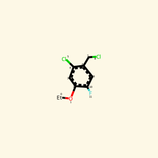 CCOc1cc(Cl)c(CCl)cc1F